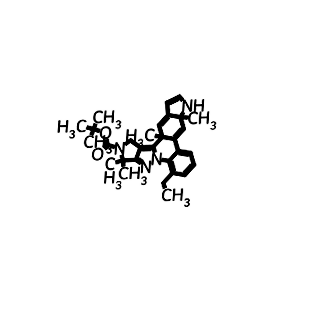 CCc1cccc2c1-n1nc3c(c1C1(C)C=C4C=CNC4(C)C=C21)CN(C(=O)OC(C)(C)C)C3(C)C